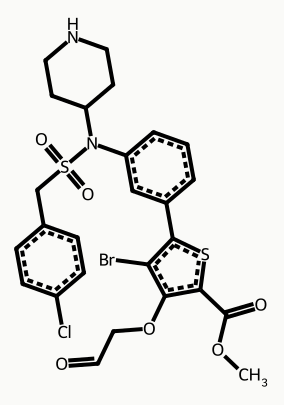 COC(=O)c1sc(-c2cccc(N(C3CCNCC3)S(=O)(=O)Cc3ccc(Cl)cc3)c2)c(Br)c1OCC=O